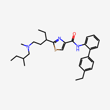 CCc1ccc(-c2ccccc2NC(=O)c2csc(C(CC)CCN(C)CC(C)CC)n2)cc1